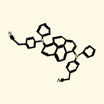 N#CCc1ccc(N(c2ccccc2)c2ccc3ccc4c(N(c5ccccc5)c5ccc(CC#N)cc5)ccc5ccc2c3c54)cc1